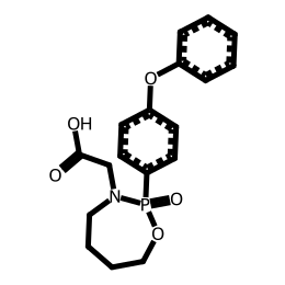 O=C(O)CN1CCCCOP1(=O)c1ccc(Oc2ccccc2)cc1